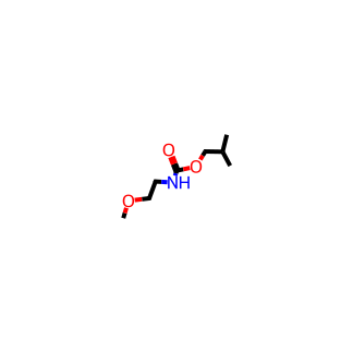 COCCNC(=O)OCC(C)C